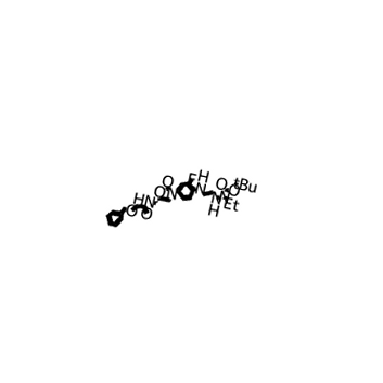 CCN(NCCNc1ccc(N2C[C@H](CNC(=O)COCc3ccccc3)OC2=O)cc1F)C(=O)OC(C)(C)C